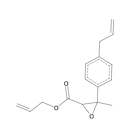 C=CCOC(=O)C1OC1(C)c1ccc(CC=C)cc1